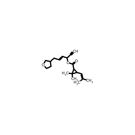 C#CC(C=CCC1CCOC1)OC(=O)C1C(C=C(C)C)C1(C)C